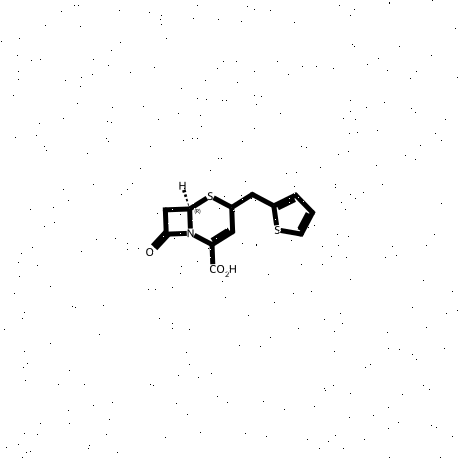 O=C(O)C1=CC(Cc2cccs2)S[C@@H]2CC(=O)N12